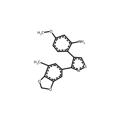 COc1ccc(-c2csnc2-c2cc(C)c3c(c2)OCO3)c(N)c1